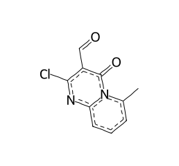 Cc1cccc2nc(Cl)c(C=O)c(=O)n12